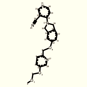 COCOc1ccc(COc2ccc3c(c2)CN(c2ccncc2C#N)C3)nc1